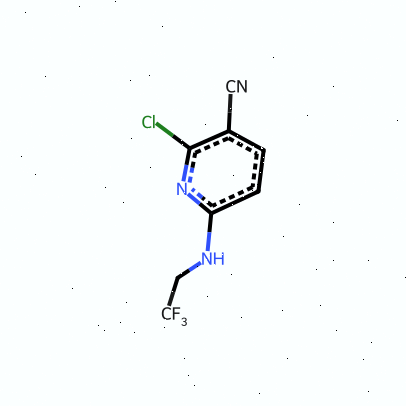 N#Cc1ccc(NCC(F)(F)F)nc1Cl